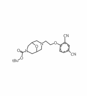 CC(C)(C)OC(=O)N1CC2CN(CCOc3ccc(C#N)cc3C#N)CC(C1)O2